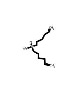 C=CCCCC[Si](Cl)(CCC)CCCCC=C